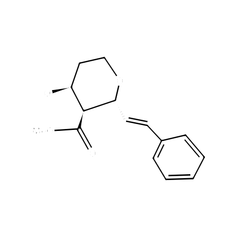 COC(=O)[C@H]1[C@@H](O)CCO[C@@H]1/C=C/c1ccccc1